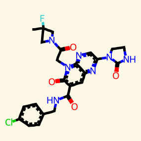 CC1(F)CN(C(=O)Cn2c(=O)c(C(=O)NCc3ccc(Cl)cc3)cc3nc(N4CCNC4=O)cnc32)C1